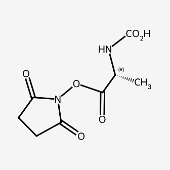 C[C@@H](NC(=O)O)C(=O)ON1C(=O)CCC1=O